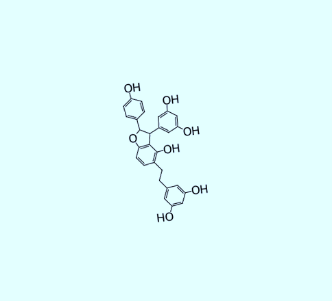 Oc1ccc(C2Oc3ccc(CCc4cc(O)cc(O)c4)c(O)c3C2c2cc(O)cc(O)c2)cc1